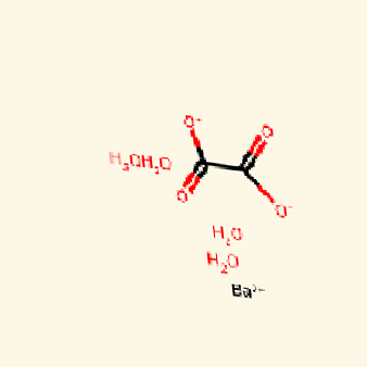 O.O.O.O.O=C([O-])C(=O)[O-].[Ba+2]